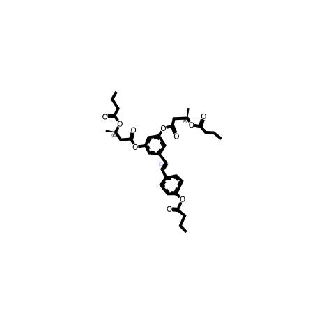 CCCC(=O)Oc1ccc(/C=C/c2cc(OC(=O)C[C@@H](C)OC(=O)CCC)cc(OC(=O)C[C@@H](C)OC(=O)CCC)c2)cc1